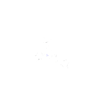 C[C@@](C#N)(CSCc1ccccc1)N(CCO[Si](C)(C)C)c1ccccc1